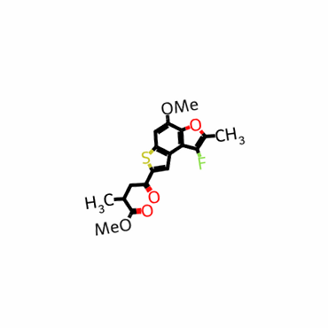 COC(=O)C(C)CC(=O)c1cc2c(cc(OC)c3oc(C)c(F)c32)s1